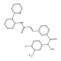 CN(C(=O)c1cccc(/C=C/C(=O)Nc2ccccc2-c2ccccn2)c1)c1ccc(F)c(C(F)(F)F)c1